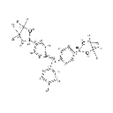 Cc1ccc(N(c2ccc(B3OC(C)(C)C(C)(C)O3)cc2)c2ccc(B3OC(C)(C)C(C)(C)O3)cc2)cc1